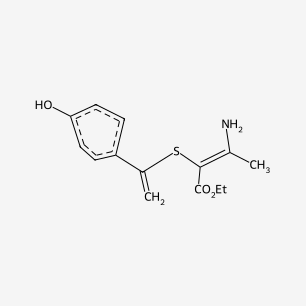 C=C(S/C(C(=O)OCC)=C(/C)N)c1ccc(O)cc1